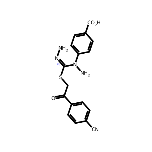 N#Cc1ccc(C(=O)CS/C(=N/N)N(N)c2ccc(C(=O)O)cc2)cc1